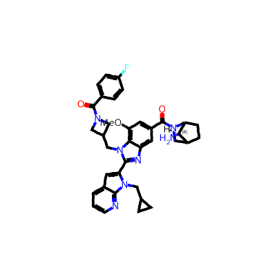 COc1cc(C(=O)N2CC3CCC2[C@@H]3N)cc2nc(-c3cc4cccnc4n3CC3CC3)n(CC3CN(C(=O)c4ccc(F)cc4)C3)c12